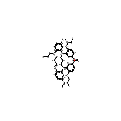 CCCOc1ccc(OC)cc1P(CCCP(c1cc(OC)ccc1OCCC)c1cc(OC)ccc1OCCC)c1cc(OC)ccc1OCCC